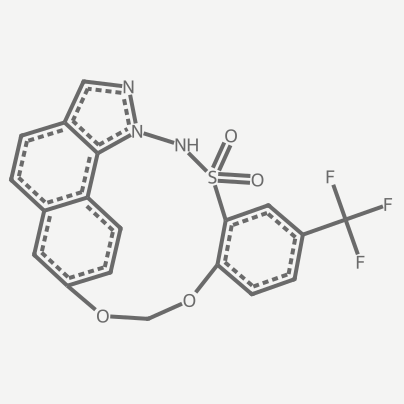 O=S1(=O)Nn2ncc3ccc4cc(ccc4c32)OCOc2ccc(C(F)(F)F)cc21